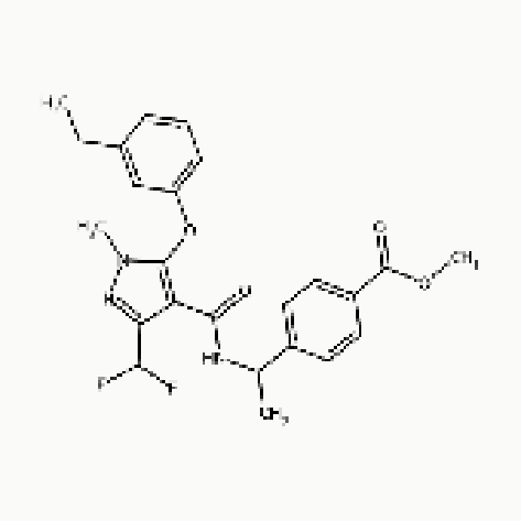 CCc1cccc(Oc2c(C(=O)NC(C)c3ccc(C(=O)OC)cc3)c(C(F)F)nn2C)c1